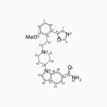 COc1cccc(-c2cnco2)c1CCN1CCC(n2ccc3ccc(C(N)=O)cc32)CC1